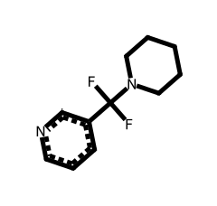 FC(F)(c1[c]nccc1)N1CCCCC1